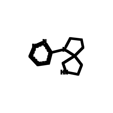 c1cnnc(N2CCCC23CCNC3)c1